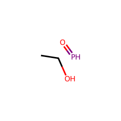 CCO.O=P